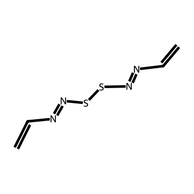 C=CN=NSSN=NC=C